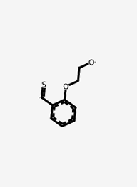 [O]CCOc1ccccc1[C]=S